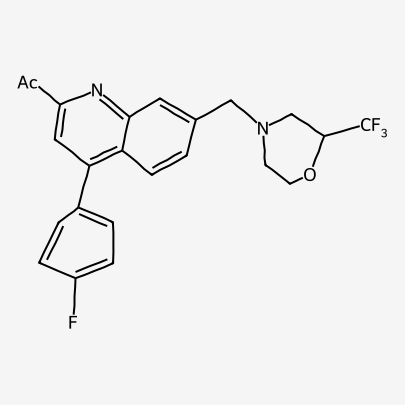 CC(=O)c1cc(-c2ccc(F)cc2)c2ccc(CN3CCOC(C(F)(F)F)C3)cc2n1